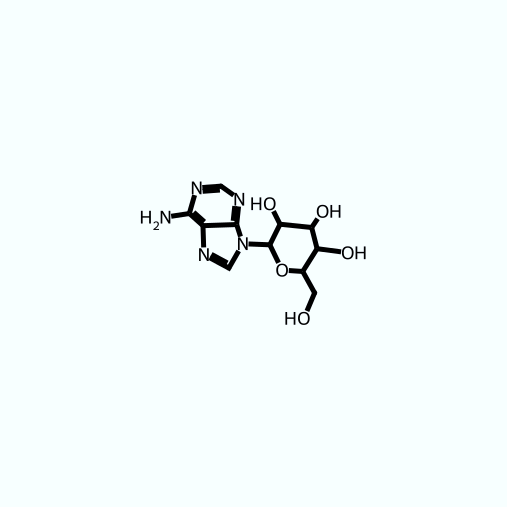 Nc1ncnc2c1ncn2C1OC(CO)C(O)C(O)C1O